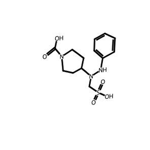 O=C(O)N1CCC(N(CS(=O)(=O)O)Nc2ccccc2)CC1